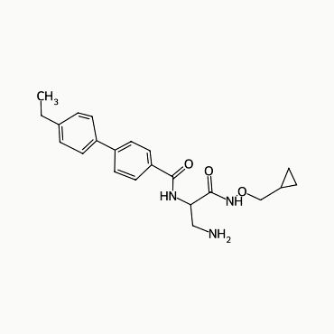 CCc1ccc(-c2ccc(C(=O)NC(CN)C(=O)NOCC3CC3)cc2)cc1